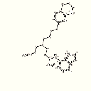 CC(=O)NCCN(CCCCc1ccc2c(n1)NCCC2)CCC(Nc1ncnc2cn[nH]c12)C(=O)O